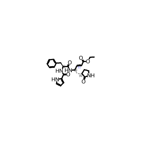 CCOC(=O)/C=C/[C@H](C[C@@H]1CCNC1=O)NC(=O)[C@H](Cc1ccccc1)NC(=O)c1ccc[nH]1